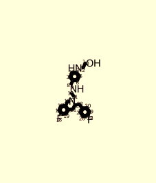 OCCNc1ccc(CNCCN2Cc3ccc(F)cc3CC2Cc2ccc(F)cc2)cc1